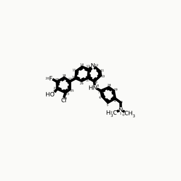 CN(C)Cc1ccc(Nc2ccnc3ccc(-c4cc(F)c(O)c(Cl)c4)cc23)cc1